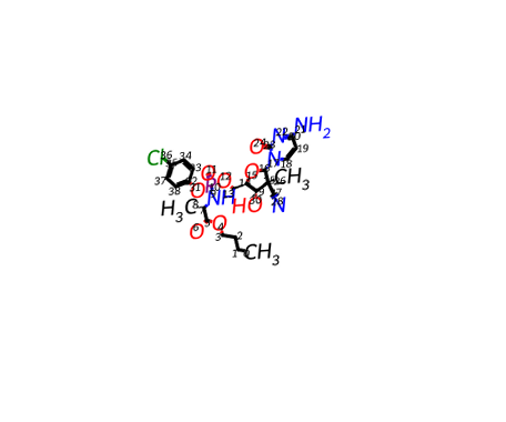 CCCCOC(=O)[C@H](C)NP(=O)(OC[C@H]1O[C@@H](n2ccc(N)nc2=O)[C@](C)(C#N)[C@@H]1O)Oc1ccc(Cl)cc1